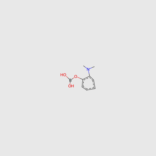 CN(C)c1ccccc1OB(O)O